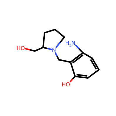 Nc1cccc(O)c1CN1CCCC1CO